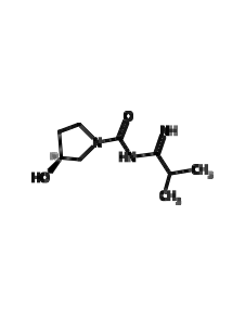 CC(C)C(=N)NC(=O)N1CC[C@H](O)C1